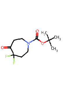 CC(C)(C)OC(=O)N1CCC(=O)C(F)(F)CC1